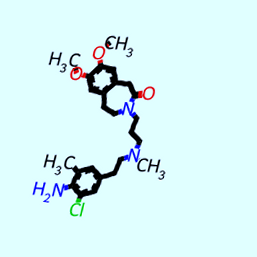 COc1cc2c(cc1OC)CC(=O)N(CCCN(C)CCc1cc(C)c(N)c(Cl)c1)CC2